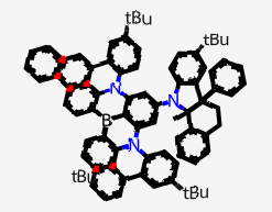 CC(C)(C)c1ccc(N2c3cc(-c4ccccc4)ccc3B3c4ccc(C(C)(C)C)cc4N(c4ccc(C(C)(C)C)cc4-c4ccccc4)c4cc(N5c6ccc(C(C)(C)C)cc6C6(c7ccccc7)CCc7ccccc7C56C)cc2c43)c(-c2ccccc2)c1